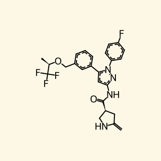 C=C1C[C@H](C(=O)Nc2cc(-c3cccc(CO[C@H](C)C(F)(F)F)c3)n(-c3ccc(F)cc3)n2)CN1